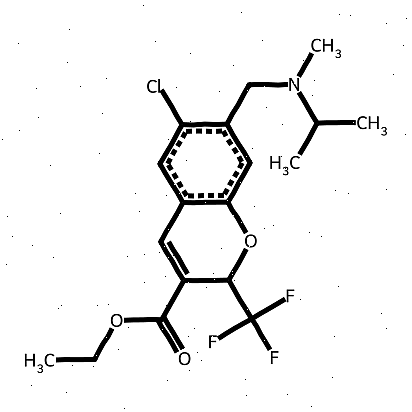 CCOC(=O)C1=Cc2cc(Cl)c(CN(C)C(C)C)cc2OC1C(F)(F)F